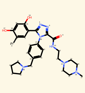 CC(C)c1cc(-c2nnc(C(=O)NCCN3CCN(C)CC3)n2-c2ccc(CN3CCCC3)cc2)c(O)cc1O